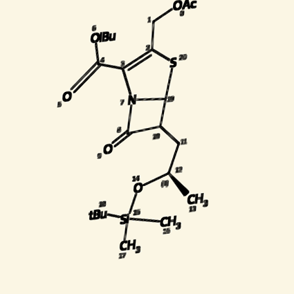 CC(=O)OCC1=C(C(=O)OCC(C)C)N2C(=O)C(C[C@@H](C)O[Si](C)(C)C(C)(C)C)C2S1